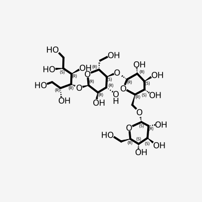 OC[C@@H](O)[C@@H](O[C@H]1O[C@H](CO)[C@@H](O[C@H]2O[C@H](CO[C@H]3O[C@H](CO)[C@@H](O)[C@H](O)[C@H]3O)[C@@H](O)[C@H](O)[C@H]2O)[C@H](O)[C@H]1O)[C@H](O)[C@@H](O)CO